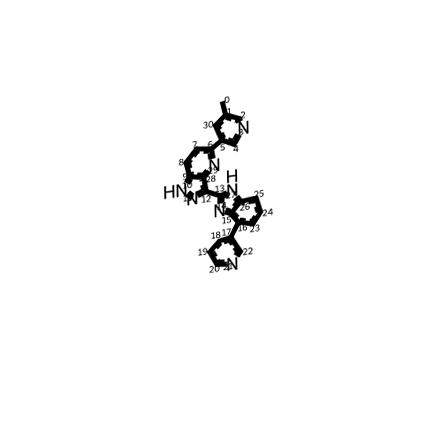 Cc1cncc(-c2ccc3[nH]nc(-c4nc5c(-c6cccnc6)cccc5[nH]4)c3n2)c1